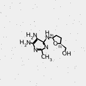 Cc1nc(N)c(N)c(N[C@H]2CC[C@@H](CO)O2)n1